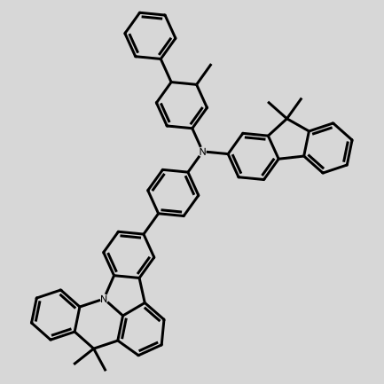 CC1C=C(N(c2ccc(-c3ccc4c(c3)c3cccc5c3n4-c3ccccc3C5(C)C)cc2)c2ccc3c(c2)C(C)(C)c2ccccc2-3)C=CC1c1ccccc1